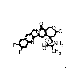 CCC1(OC(=O)C(C)N)CC(=O)OCc2c1cc1n(c2=O)Cc2cc3cc(F)c(F)cc3nc2-1